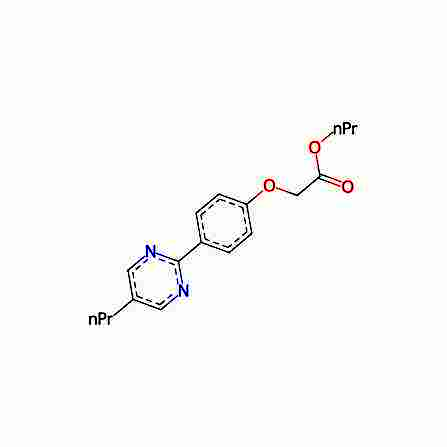 CCCOC(=O)COc1ccc(-c2ncc(CCC)cn2)cc1